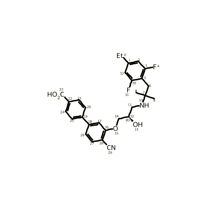 CCc1cc(F)c(CC(C)(C)NC[C@@H](O)COc2cc(-c3ccc(C(=O)O)cc3)ccc2C#N)c(F)c1